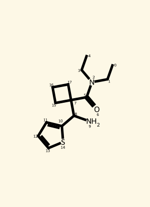 CCN(CC)C(=O)C1(C(N)c2cccs2)CCC1